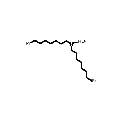 CC(C)CCCCCCCN([C]=O)CCCCCCCC(C)C